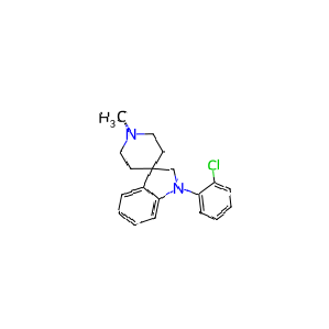 CN1CCC2(CC1)CN(c1ccccc1Cl)c1ccccc12